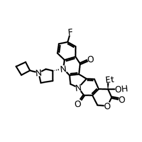 CC[C@@]1(O)C(=O)OCc2c1cc1n(c2=O)Cc2c-1c(=O)c1cc(F)ccc1n2[C@@H]1CCN(C2CCC2)C1